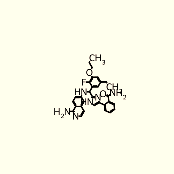 CCCOc1cc(CC)cc(C(Nc2ccc3c(N)nccc3c2)c2nc(-c3ccccc3C(N)=O)c[nH]2)c1F